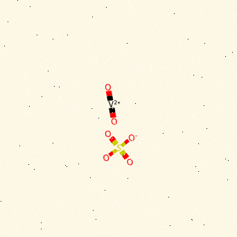 O=S(=O)([O-])[O-].[O]=[V+2]=[O]